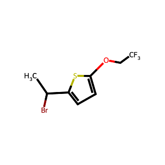 CC(Br)c1ccc(OCC(F)(F)F)s1